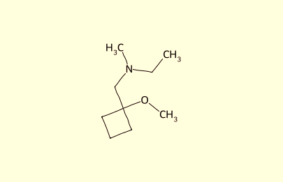 CCN(C)CC1(OC)CCC1